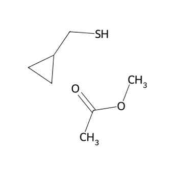 COC(C)=O.SCC1CC1